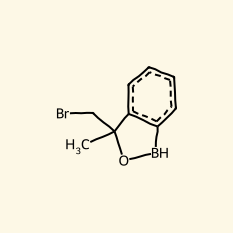 CC1(CBr)OBc2ccccc21